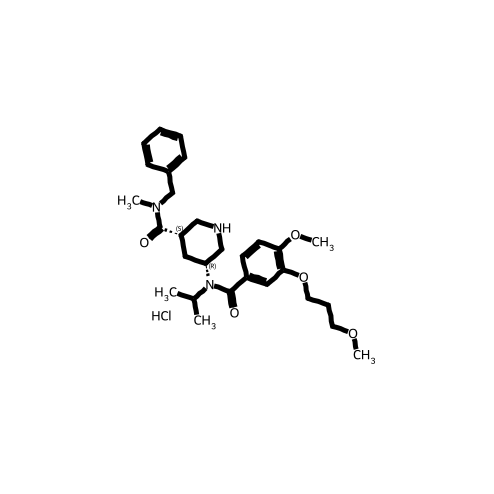 COCCCOc1cc(C(=O)N(C(C)C)[C@H]2CNC[C@@H](C(=O)N(C)Cc3ccccc3)C2)ccc1OC.Cl